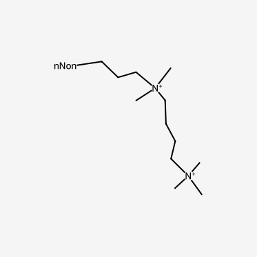 CCCCCCCCCCCC[N+](C)(C)CCCC[N+](C)(C)C